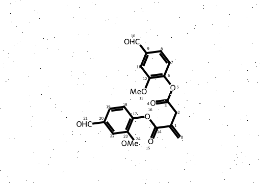 C=C(CC(=O)Oc1ccc(C=O)cc1OC)C(=O)Oc1ccc(C=O)cc1OC